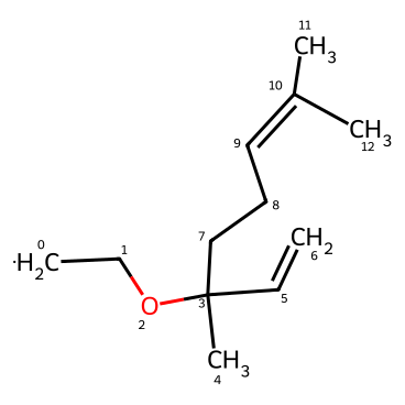 [CH2]COC(C)(C=C)CCC=C(C)C